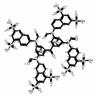 O=CN(c1ccc2c(S(=O)(=O)O)cc(S(=O)(=O)O)cc2c1)c1cc(C(=O)c2cc(N(C=O)c3ccc4c(S(=O)(=O)O)cc(S(=O)(=O)O)cc4c3)c3c(N(C=O)c4ccc5c(S(=O)(=O)O)cc(S(=O)(=O)O)cc5c4)c2N3)c2c(N(C=O)c3ccc4c(S(=O)(=O)O)cc(S(=O)(=O)O)cc4c3)c1N2